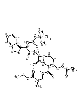 CCOC(=O)N(C)COC(=O)C1=C(COC(C)=O)CSC2C(NC(=O)C(NC(=O)OC(C)(C)C)C3=C4C=COC=C4CC3)C(=O)N12